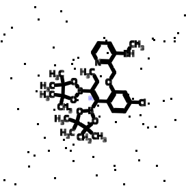 CBc1cccnc1COc1cc(Cl)ccc1/C(B1OC(C)(C)C(C)(C)O1)=C(\CC)B1OC(C)(C)C(C)(C)O1